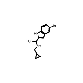 CC(NCC1CC1)c1cc2cc(Br)ccc2[nH]1